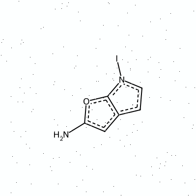 Nc1cc2ccn(I)c2o1